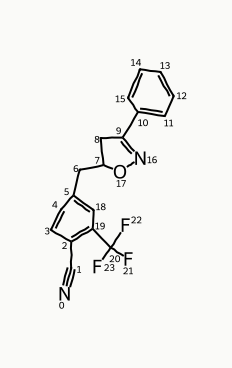 N#Cc1ccc(CC2CC(c3ccccc3)=NO2)cc1C(F)(F)F